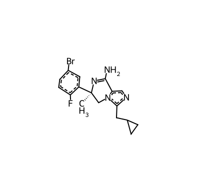 C[C@@]1(c2cc(Br)ccc2F)Cn2c(cnc2CC2CC2)C(N)=N1